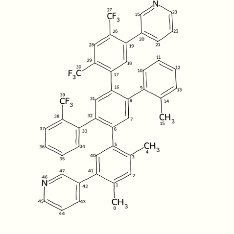 Cc1cc(C)c(-c2cc(-c3ccccc3C)c(-c3cc(-c4cccnc4)c(C(F)(F)F)cc3C(F)(F)F)cc2-c2ccccc2C(F)(F)F)cc1-c1cccnc1